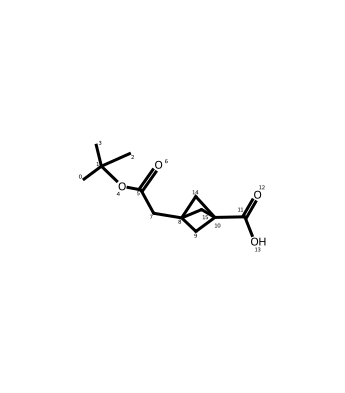 CC(C)(C)OC(=O)CC12CC(C(=O)O)(C1)C2